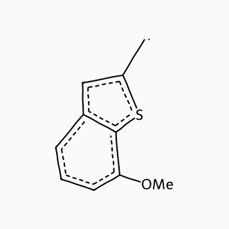 [CH2]c1cc2cccc(OC)c2s1